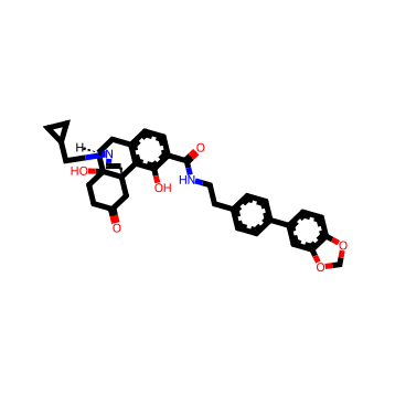 O=C1CCC2(O)[C@H]3Cc4ccc(C(=O)NCCc5ccc(-c6ccc7c(c6)OCO7)cc5)c(O)c4[C@@]2(CCN3CC2CC2)C1